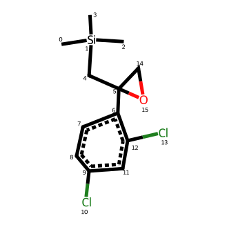 C[Si](C)(C)CC1(c2ccc(Cl)cc2Cl)CO1